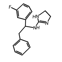 Fc1cccc(C(Cc2ccccc2)NC2=NCCN2)c1